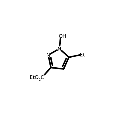 CCOC(=O)c1cc(CC)n(O)n1